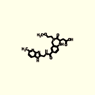 COCCN1Cc2cc(C(=O)NCc3nc4nc(C)ccc4[nH]3)ccc2NC(CC(=O)O)C1=O